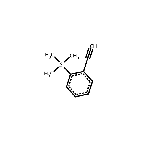 C#Cc1[c]cccc1[Si](C)(C)C